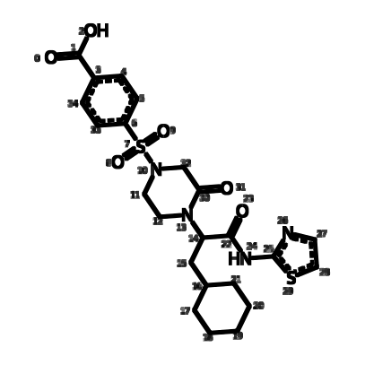 O=C(O)c1ccc(S(=O)(=O)N2CCN(C(CC3CCCCC3)C(=O)Nc3nccs3)C(=O)C2)cc1